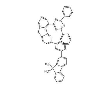 CC1(C)c2ccccc2-c2ccc(-c3cccc(-c4ccc5sc6cccc(-c7nc(-c8ccccc8)nc(-c8ccccc8)n7)c6c5c4)c3)cc21